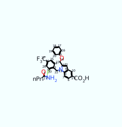 CCCC(N)=O.O=C(O)c1ccc2c(c1)cc(COc1ccccc1)n2Cc1ccc(C(F)(F)F)cc1F